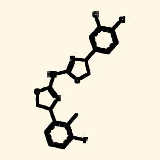 Cc1c(F)cccc1C1COC(NC2=NC(c3ccc(Cl)c(Cl)c3)CO2)=N1